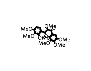 COc1ccc(C2Oc3c(cc(OC)c(OC)c3OC)C(=O)C2OC)c(OC)c1OC